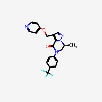 C[C@H]1CN(c2ccc(C(F)(F)F)cc2)C(=O)c2c(COc3ccncc3)cnn21